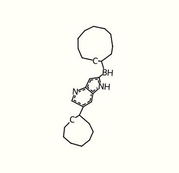 B(c1cc2ncc(C3CCCCCCCC3)cc2[nH]1)C1CCCCCCCCCC1